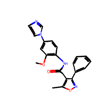 COc1cc(-n2ccnc2)ccc1NC(=O)c1c(-c2ccccc2)noc1C